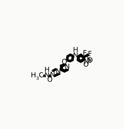 CCNC(=O)N1CCN(c2ccnc(OC3CCC(Nc4ccc([N+](=O)[O-])c(C(F)(F)F)c4)CC3)c2)CC1